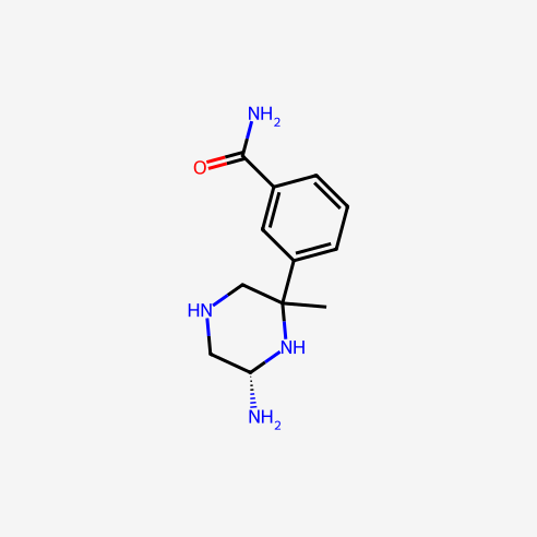 CC1(c2cccc(C(N)=O)c2)CNC[C@@H](N)N1